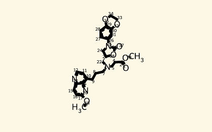 COC(=O)CCN(CCCc1ccnc2ccc(OC)nc12)C[C@@H]1CN(c2ccc3c(c2)OCCO3)C(=O)O1